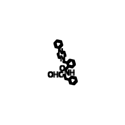 O=CC(Cc1ccccc1)NC(=O)c1ccccc1CN1CCN(c2ccccc2)CC1